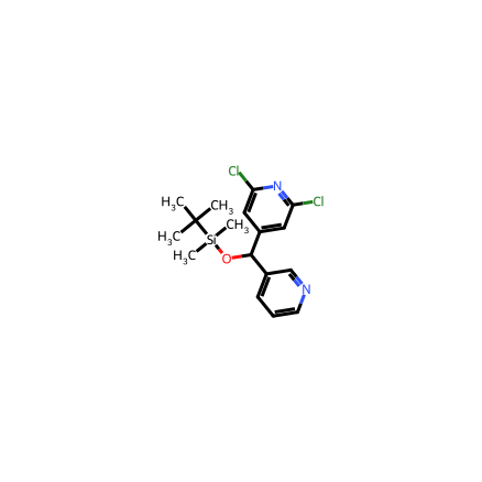 CC(C)(C)[Si](C)(C)OC(c1cccnc1)c1cc(Cl)nc(Cl)c1